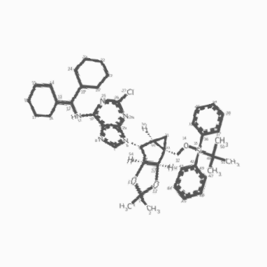 CC1(C)O[C@H]2[C@H](n3cnc4c(NC(C5CCCCC5)C5CCCCC5)nc(Cl)nc43)[C@H]3C[C@@]3(CO[Si](c3ccccc3)(c3ccccc3)C(C)(C)C)[C@H]2O1